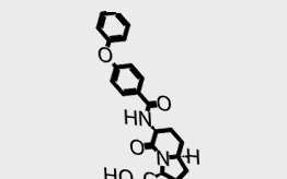 O=C(N[C@H]1CC[C@H]2CC[C@@H](C(=O)O)N2C1=O)c1ccc(Oc2ccccc2)cc1